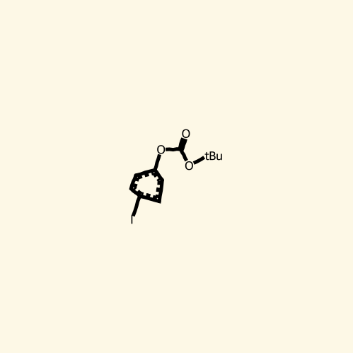 CC(C)(C)OC(=O)Oc1ccc(I)cc1